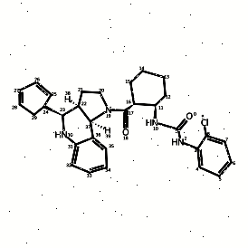 O=C(Nc1ccccc1Cl)N[C@@H]1CCCC[C@@H]1C(=O)N1CC[C@@H]2[C@H](C3C=CC=CC3)Nc3ccccc3[C@@H]21